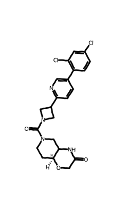 O=C1CO[C@H]2CCN(C(=O)N3CC(c4ccc(-c5ccc(Cl)cc5Cl)cn4)C3)CC2N1